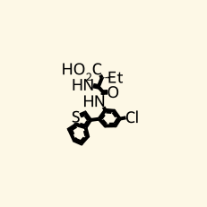 CC[C@H](C(=N)C(=O)Nc1cc(Cl)ccc1-c1csc2ccccc12)C(=O)O